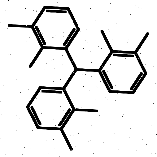 Cc1cccc(C(c2cccc(C)c2C)c2cccc(C)c2C)c1C